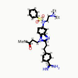 CCN(CC)CCN(c1ccc2c(c1)nc(CCc1ccc(C(=N)N)cc1)n2CCC(=O)NC)S(=O)(=O)c1ccccc1